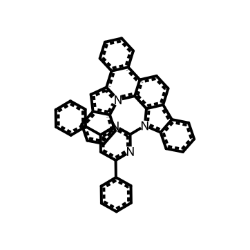 c1ccc(-c2cc(-c3ccccc3)nc(-n3c4ccccc4c4ccc5c6ccccc6c6cc7ccccc7n6c5c43)n2)cc1